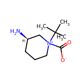 CC(C)(C)[N+]1(C(=O)[O-])CCC[C@@H](N)C1